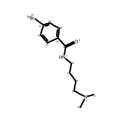 CN(C)CCCCNC(=O)c1ccc([76Br])cc1